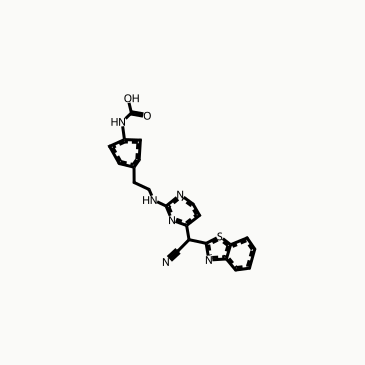 N#CC(c1ccnc(NCCc2ccc(NC(=O)O)cc2)n1)c1nc2ccccc2s1